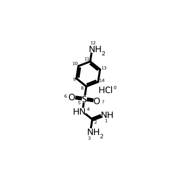 Cl.N=C(N)NS(=O)(=O)c1ccc(N)cc1